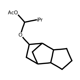 CC(=O)OC(OC1CC2CC1C1CCCC21)C(C)C